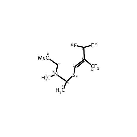 COCN(C)C(C)S/C=C(/C(F)F)C(F)(F)F